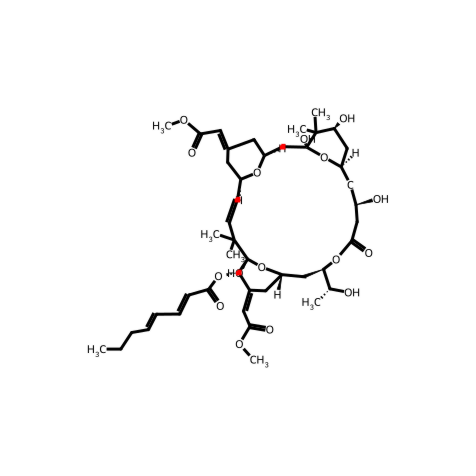 CCC/C=C/C=C/C(=O)O[C@H]1/C(=C/C(=O)OC)C[C@H]2C[C@H]([C@@H](C)O)OC(=O)C[C@H](O)C[C@@H]3C[C@H](O)C(C)(C)[C@](O)(C[C@@H]4C/C(=C/C(=O)OC)C[C@H](/C=C/C(C)(C)[C@]1(O)O2)O4)O3